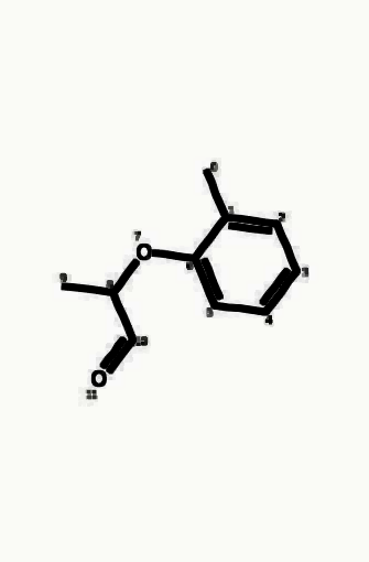 Cc1ccccc1OC(C)[C]=O